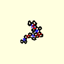 c1ccc(-c2cc3c4c(c2)N(c2c(-c5ccccc5)cccc2-c2ccccc2)c2cc(-n5c6ccccc6c6ccccc65)ccc2B4c2ccc(-c4ccc5c(c4)c4cccc6c7ccccc7n5c64)cc2N3c2c(-c3ccccc3)cccc2-c2ccccc2)cc1